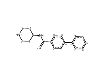 O=C(NC1CCNCC1)c1ccc(-c2ccccc2)cc1